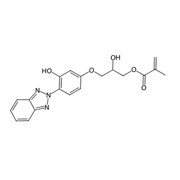 C=C(C)C(=O)OCC(O)COc1ccc(-n2nc3ccccc3n2)c(O)c1